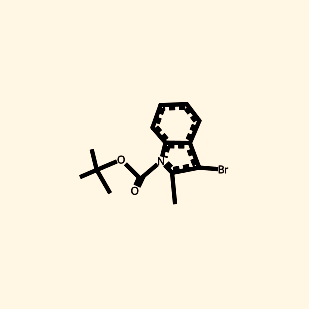 Cc1c(Br)c2ccccc2n1C(=O)OC(C)(C)C